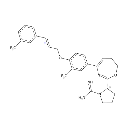 N=C(N)N1CCC[C@H]1C1=NC(c2ccc(OC/C=C/c3cccc(C(F)(F)F)c3)c(C(F)(F)F)c2)=CCCO1